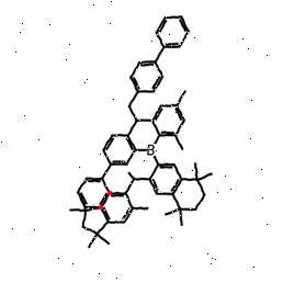 Cc1cc(C)c2c(c1)C(Cc1ccc(-c3ccccc3)cc1)c1ccc(-c3ccccc3)cc1B2c1cc2c(cc1C(C)c1cc3c(cc1C)C(C)(C)CC3(C)C)C(C)(C)CCC2(C)C